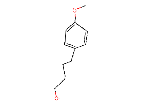 COc1ccc(CCCC[O])cc1